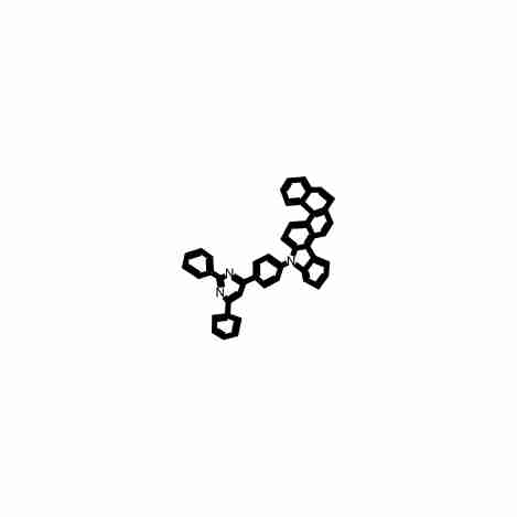 c1ccc(-c2cc(-c3ccc(-n4c5ccccc5c5c6ccc7ccc8ccccc8c7c6ccc54)cc3)nc(-c3ccccc3)n2)cc1